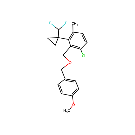 COc1ccc(COCc2c(Cl)ccc(C)c2C2(C(F)F)CC2)cc1